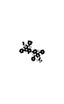 CCCN1C[C@H](C(=O)c2ccccc2)C(c2cccc(C)c2C)[C@@H](C(=O)c2ccccc2)C1.Cc1cccc(C2[C@@H](C(=O)c3ccccc3)CN(CC(=O)N(C)C)C[C@@H]2C(=O)c2ccccc2)c1